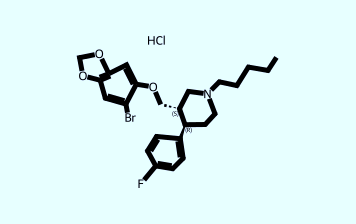 CCCCCN1CC[C@@H](c2ccc(F)cc2)[C@H](COc2cc3c(cc2Br)OCO3)C1.Cl